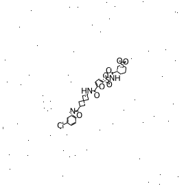 O=C(NC1CC2(C1)CC(c1nc3cc(Cl)ccc3o1)C2)c1ccc(S(=O)(=O)NC(=O)C2CCCS(=O)(=O)C2)o1